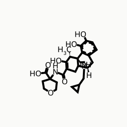 C[C@H]1C(O)=C(C(=O)NC2(C(=O)O)CCOCC2)C[C@@]2(O)[C@H]3Cc4ccc(O)c(O)c4[C@@]12CCN3CC1CC1